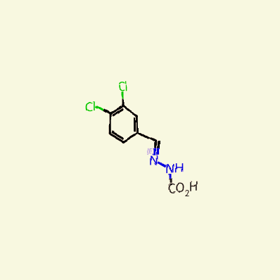 O=C(O)N/N=C/c1ccc(Cl)c(Cl)c1